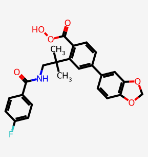 CC(C)(CNC(=O)c1ccc(F)cc1)c1cc(-c2ccc3c(c2)OCO3)ccc1C(=O)OO